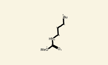 CCC(C)CCCNC(=O)OC